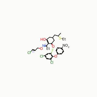 CCSC(C)CC1CC(=O)C(/C(CC)=N/OC/C=C/Cl)=C(O)C1.O=[N+]([O-])c1ccc(Oc2c(F)cc(Cl)cc2Cl)cc1